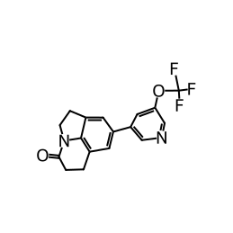 O=C1CCc2cc(-c3cncc(OC(F)(F)F)c3)cc3c2N1CC3